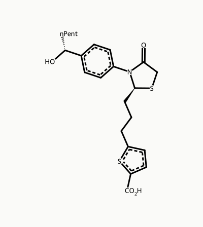 CCCCC[C@@H](O)c1ccc(N2C(=O)CS[C@H]2CCCc2ccc(C(=O)O)s2)cc1